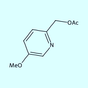 COc1ccc(COC(C)=O)nc1